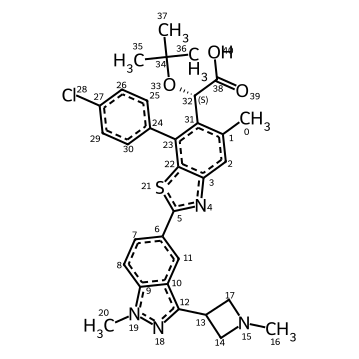 Cc1cc2nc(-c3ccc4c(c3)c(C3CN(C)C3)nn4C)sc2c(-c2ccc(Cl)cc2)c1[C@H](OC(C)(C)C)C(=O)O